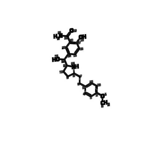 COc1ccc(CCC2CCC(C(O)c3ccc(O)c(C(N)=O)c3)N2)cc1